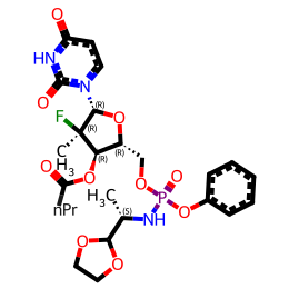 CCCC(=O)O[C@@H]1[C@@H](COP(=O)(N[C@@H](C)C2OCCO2)Oc2ccccc2)O[C@@H](n2ccc(=O)[nH]c2=O)[C@]1(C)F